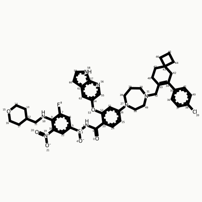 O=C(N[S+]([O-])c1cc(F)c(NCC2CCOCC2)c([N+](=O)[O-])c1)c1ccc(N2CCCN(CC3=C(c4ccc(Cl)cc4)CC4(CCC4)CC3)CC2)cc1Oc1cnc2[nH]ccc2c1